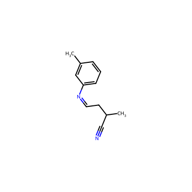 Cc1cccc(/N=C\CC(C)C#N)c1